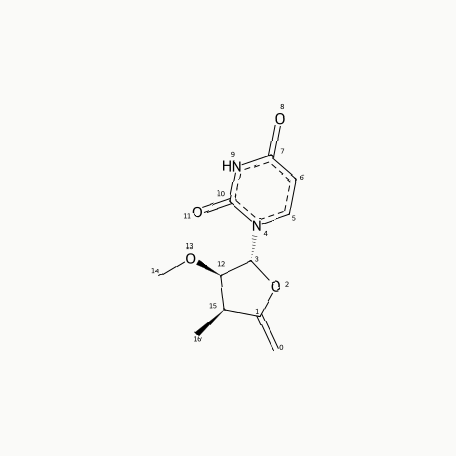 C=C1O[C@@H](n2ccc(=O)[nH]c2=O)[C@H](OC)[C@@H]1C